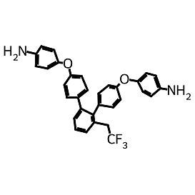 Nc1ccc(Oc2ccc(-c3cccc(CC(F)(F)F)c3-c3ccc(Oc4ccc(N)cc4)cc3)cc2)cc1